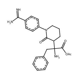 CC(=O)OC(=O)C(N)(Cc1ccccc1)C1CCCN(c2ccc(C(=N)N)cc2)C1=O